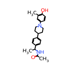 CC(=O)NC(C)c1ccc(C2CCN(c3ccc(O)c(C)c3)CC2)cc1